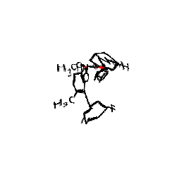 COC(=O)[C@@H]1CC2C[C@H](C1)N2C(=O)Nc1ccc(C)c(-c2cncc(F)c2)c1